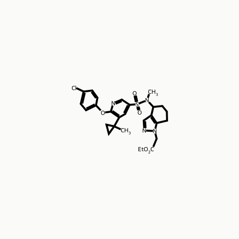 CCOC(=O)Cn1ncc2c1CCCC2N(C)S(=O)(=O)c1cnc(Oc2ccc(Cl)cc2)c(C2(C)CC2)c1